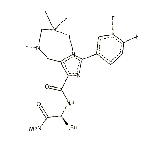 CNC(=O)[C@@H](NC(=O)c1nc(-c2ccc(F)c(F)c2)n2c1CN(C)CC(C)(C)C2)C(C)(C)C